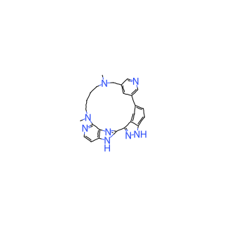 CN1CCCCN(C)c2nccc3[nH]c(nc23)-c2n[nH]c3ccc(cc23)-c2cncc(c2)C1